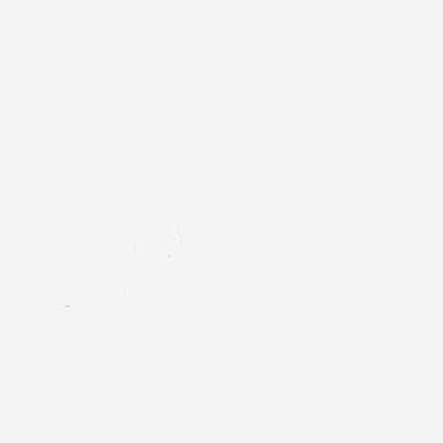 O=C(O)COCC1CCC(CNC(=O)N(c2ccccc2)c2ccc(Cl)cc2)CC1